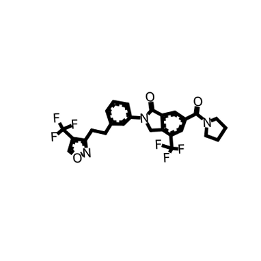 O=C(c1cc2c(c(C(F)(F)F)c1)CN(c1cccc(CCc3nocc3C(F)(F)F)c1)C2=O)N1CCCC1